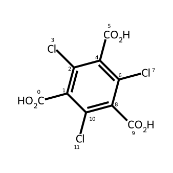 O=C(O)c1c(Cl)c(C(=O)O)c(Cl)c(C(=O)O)c1Cl